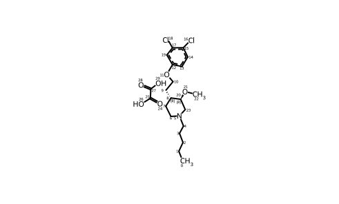 CCCCCN1CC[C@H](CCOc2ccc(Cl)c(Cl)c2)[C@@H](OC)C1.O=C(O)C(=O)O